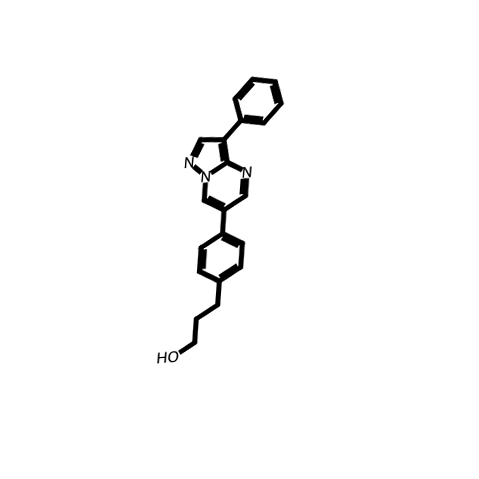 OCCCc1ccc(-c2cnc3c(-c4ccccc4)cnn3c2)cc1